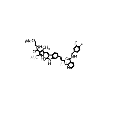 COCCNC(=O)c1c(C)[nH]c(C=C2C(=O)Nc3cc(C=CCNc4ncccc4C(=O)NCc4ccc(F)c(F)c4)ccc32)c1C